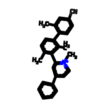 Cc1cc(C#N)ccc1-c1ccc(C)c(-c2cc(-c3ccccc3)cc[n+]2C)c1C